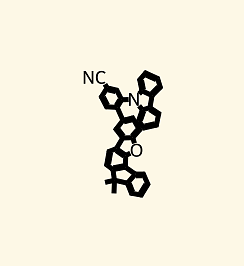 CC1(C)c2ccccc2-c2c1ccc1c2oc2ccc(-c3ccc(C#N)cc3-n3c4ccccc4c4ccccc43)cc21